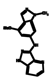 COc1cc(Nc2n[nH]c3cccnc23)cc2c1cnn2C